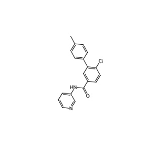 Cc1ccc(-c2cc(C(=O)Nc3cccnc3)ccc2Cl)cc1